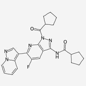 O=C(Nc1nn(C(=O)C2CCCC2)c2nc(-c3cnn4ccccc34)c(F)cc12)C1CCCC1